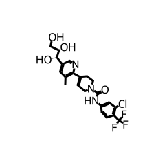 Cc1cc([C@H](O)[C@@H](O)CO)cnc1C1=CCN(C(=O)Nc2ccc(C(F)(F)F)c(Cl)c2)CC1